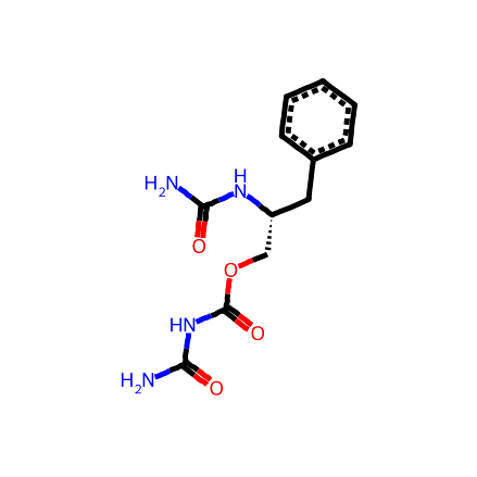 NC(=O)NC(=O)OC[C@@H](Cc1ccccc1)NC(N)=O